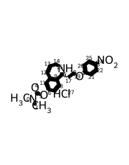 CN(C)C(=O)Oc1ccc2c(c1)C=CCN[C@@H]2CCOc1ccc([N+](=O)[O-])cc1.Cl